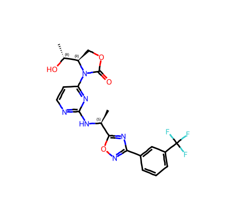 C[C@H](Nc1nccc(N2C(=O)OC[C@@H]2[C@@H](C)O)n1)c1nc(-c2cccc(C(F)(F)F)c2)no1